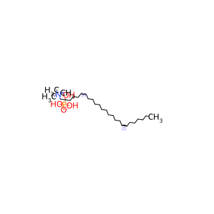 CCCCCC/C=C\CCCCCCCCCC/C=C\CCCC(O)(C[N+](C)(C)C)P(=O)(O)O